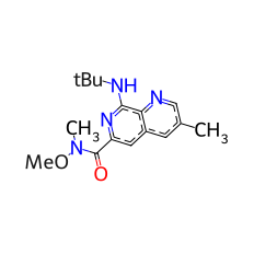 CON(C)C(=O)c1cc2cc(C)cnc2c(NC(C)(C)C)n1